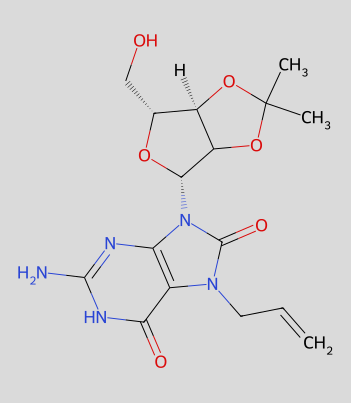 C=CCn1c(=O)n([C@@H]2O[C@H](CO)[C@H]3OC(C)(C)OC23)c2nc(N)[nH]c(=O)c21